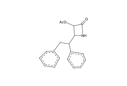 CC(=O)OC1C(=O)NC1C(Cc1ccccc1)c1ccccc1